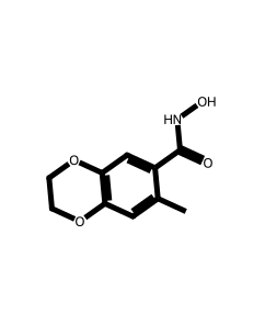 Cc1cc2c(cc1C(=O)NO)OCCO2